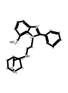 O=C(O)c1cccc2nc(-c3ccccc3)n(CCNC3CN4CCC3CC4)c12